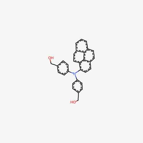 OCc1ccc(N(c2ccc(CO)cc2)c2ccc3ccc4cccc5ccc2c3c45)cc1